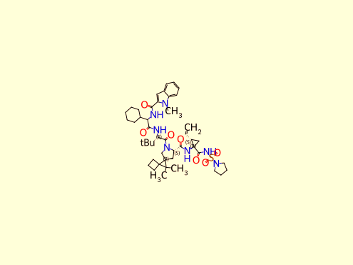 C=C[C@@H]1C[C@]1(NC(=O)[C@@H]1C[C@@]2(CN1C(=O)[C@@H](NC(=O)C(NC(=O)c1cc3ccccc3n1C)C1CCCCC1)C(C)(C)C)C(C)(C)C21CCC1)C(=O)NS(=O)(=O)N1CCCC1